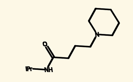 CC(C)NC(=O)CCCN1CCCCC1